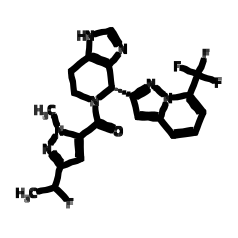 CC(F)c1cc(C(=O)N2CCc3[nH]cnc3[C@@H]2c2cc3cccc(C(F)(F)F)n3n2)n(C)n1